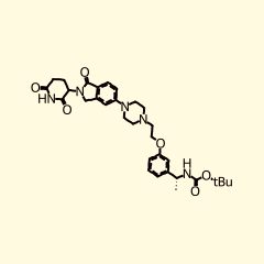 C[C@@H](NC(=O)OC(C)(C)C)c1cccc(OCCN2CCN(c3ccc4c(c3)CN(C3CCC(=O)NC3=O)C4=O)CC2)c1